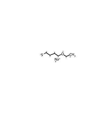 CCOCCCC[S-].[Na+]